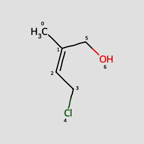 CC(=CCCl)CO